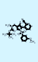 COc1cccc(S(=O)(=O)n2cc(CN(C)C(=O)OC(C)(C)C)c(F)c2-c2cccnc2C#N)c1